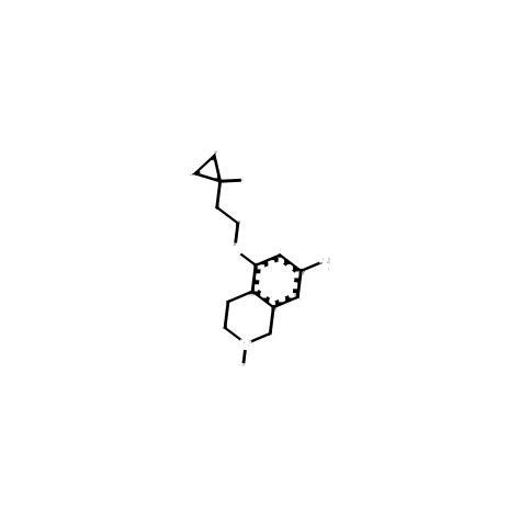 CN1CCc2c(cc(N)cc2OCCC2(C)CC2)C1